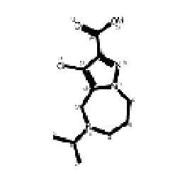 CC(C)N1CCCn2nc(C(=O)O)c(Cl)c2C1